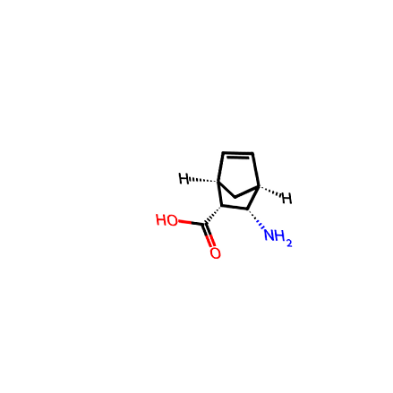 N[C@@H]1[C@H](C(=O)O)[C@H]2C=C[C@@H]1C2